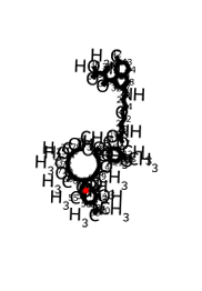 CC[C@H]1OC(=O)[C@H](C)[C@@H](O[C@H]2C[C@@](C)(OC)[C@@H](OC(=O)NCCOCCNc3cc4c5c(c3)c(=O)c(C(=O)O)cn5C(C)CC4)[C@H](C)O2)[C@H](C)[C@@H](O[C@@H]2O[C@H](C)C[C@H](N(C)C)[C@H]2O)[C@](C)(OC)C[C@@H](C)C(=O)[C@H](C)[C@@H](O)[C@]1(C)O